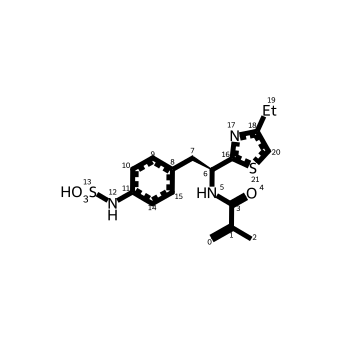 C=C(C)C(=O)N[C@@H](Cc1ccc(NS(=O)(=O)O)cc1)c1nc(CC)cs1